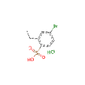 CCc1cc(Br)ccc1S(=O)(=O)O.Cl